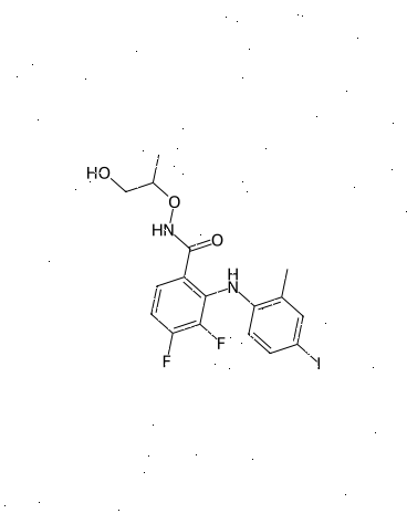 Cc1cc(I)ccc1Nc1c(C(=O)NOC(C)CO)ccc(F)c1F